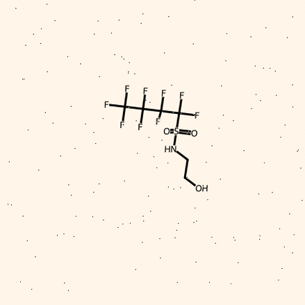 O=S(=O)(NCCO)C(F)(F)C(F)(F)C(F)(F)C(F)(F)F